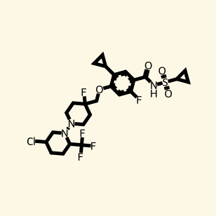 O=C(NS(=O)(=O)C1CC1)c1cc(C2CC2)c(OCC2(F)CCN(N3CC(Cl)CCC3C(F)(F)F)CC2)cc1F